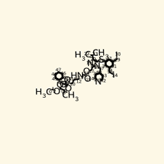 CCOC(=O)[C@H](C)OP(=O)(CCCNC(=O)OCc1nc(C(C)C)c(Sc2cc(CI)cc(CI)c2)n1Cc1ccncc1)Oc1ccccc1